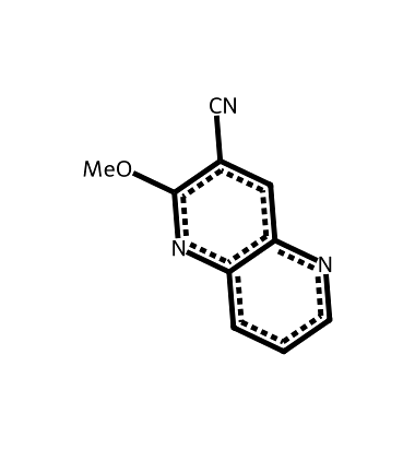 COc1nc2cccnc2cc1C#N